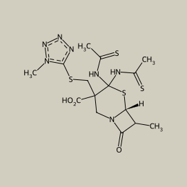 CC(=S)NC1(NC(C)=S)S[C@@H]2C(C)C(=O)N2CC1(CSc1nnnn1C)C(=O)O